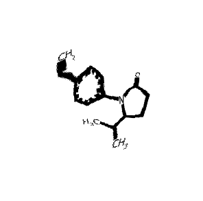 C=Cc1ccc(N2C(=O)CCC2C(C)C)cc1